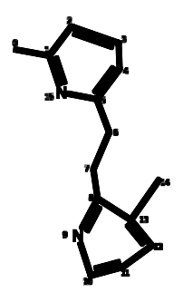 Cc1cccc(CCc2ncccc2C)n1